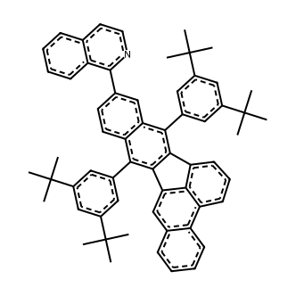 CC(C)(C)c1cc(-c2c3c(c(-c4cc(C(C)(C)C)cc(C(C)(C)C)c4)c4cc(-c5nccc6ccccc56)ccc24)-c2cccc4c2c-3cc2ccccc24)cc(C(C)(C)C)c1